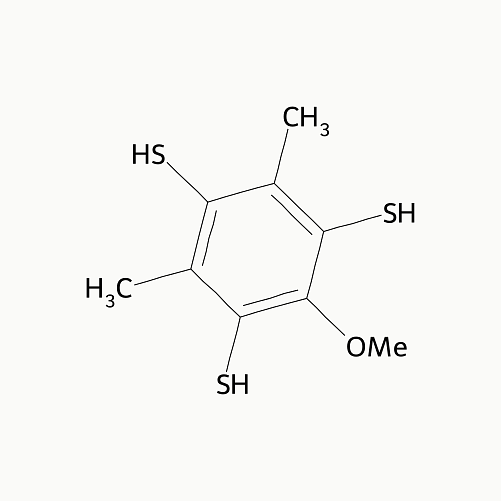 COc1c(S)c(C)c(S)c(C)c1S